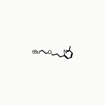 Cc1cccc(CCCOCCC(C)(C)C)n1